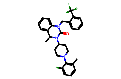 Cc1cccc(F)c1N1CCC(N2C(=O)N(Cc3ccccc3C(F)(F)F)c3ccccc3C2C)CC1